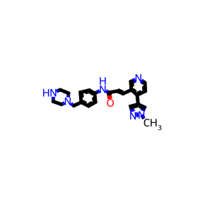 Cn1cc(-c2ccncc2/C=C/C(=O)Nc2ccc(CN3CCNCC3)cc2)cn1